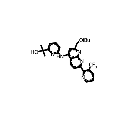 CC(C)COCc1cc(Nc2cccc(C(C)(C)O)n2)c2ccc(-c3ncccc3C(F)(F)F)nc2n1